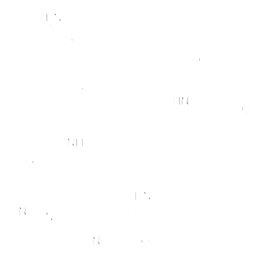 CC1(N)CCC(C)(CNC(=O)c2cc(C(=O)NCc3ccc4c(c3)NC(=O)CO4)nc3ccnn23)CC1